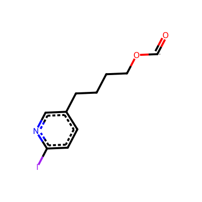 O=[C]OCCCCc1ccc(I)nc1